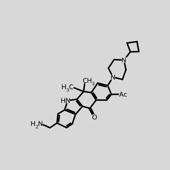 CC(=O)c1cc2c(cc1N1CCN(C3CCC3)CC1)C(C)(C)c1[nH]c3cc(CN)ccc3c1C2=O